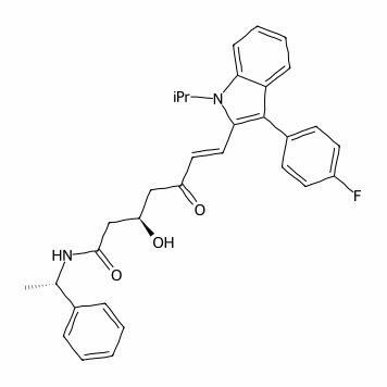 CC(C)n1c(/C=C/C(=O)C[C@@H](O)CC(=O)N[C@@H](C)c2ccccc2)c(-c2ccc(F)cc2)c2ccccc21